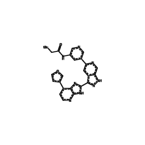 CC(C)(C)CC(=O)Nc1cncc(-c2cc3c(-c4nc5c(-c6ccoc6)ccnc5[nH]4)n[nH]c3cn2)c1